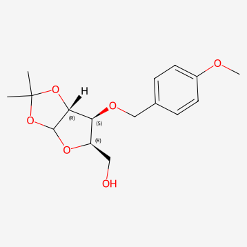 COc1ccc(CO[C@H]2[C@@H](CO)OC3OC(C)(C)O[C@@H]32)cc1